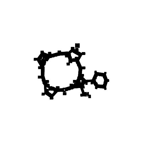 Nc1c(-c2ccccc2)c2cc3nc(cc4ccc(cc5nc(cc1[nH]2)C=C5)[nH]4)C=C3.[Ni]